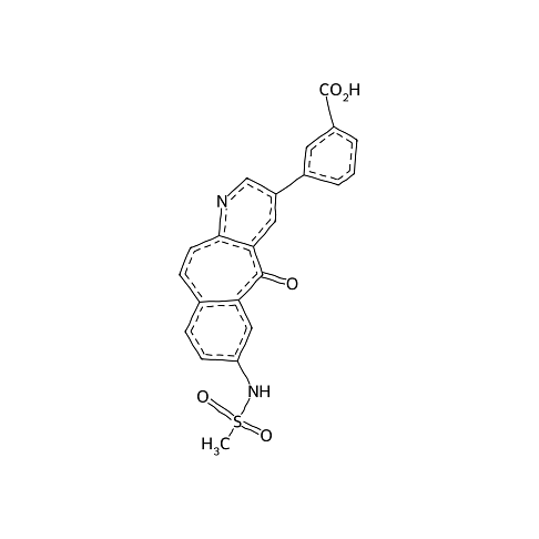 CS(=O)(=O)Nc1ccc2ccc3ncc(-c4cccc(C(=O)O)c4)cc3c(=O)c2c1